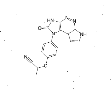 CC(C#N)Oc1ccc(-n2c3c([nH]c2=O)N=NC2NC=CC32)cc1